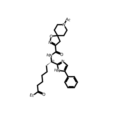 CCC(=O)CCCCC[C@H](NC(=O)C1=NOC2(CCN(C(C)=O)CC2)C1)c1ncc(-c2ccccc2)[nH]1